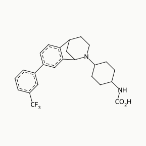 O=C(O)NC1CCC(N2CCC3CC2c2cc(-c4cccc(C(F)(F)F)c4)ccc23)CC1